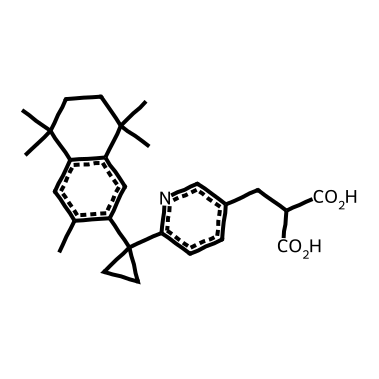 Cc1cc2c(cc1C1(c3ccc(CC(C(=O)O)C(=O)O)cn3)CC1)C(C)(C)CCC2(C)C